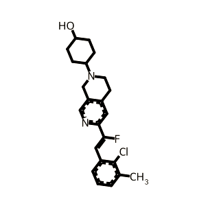 Cc1cccc(/C=C(\F)c2cc3c(cn2)CN(C2CCC(O)CC2)CC3)c1Cl